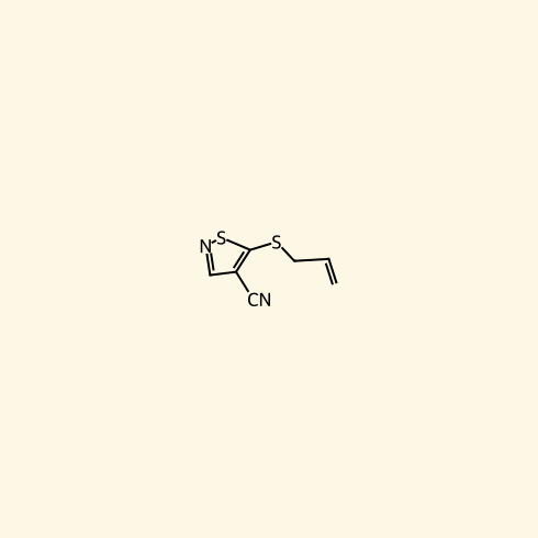 C=CCSc1sncc1C#N